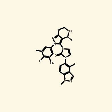 Cc1cc(-n2nc3c(c2-n2ccn(-c4ccc5c(cnn5C)c4F)c2=O)[C@H](C)NCC3)cc(C#N)c1F